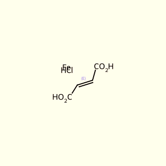 Cl.O=C(O)/C=C/C(=O)O.[Fe]